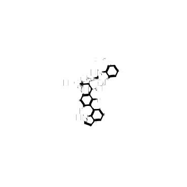 C[C@H]1c2c(cc(F)c(-c3cccc4cc[nH]c34)c2F)NC(C)(C)[C@@H]1OC(=O)Nc1c(F)cccc1C(F)(F)F